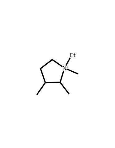 CC[N+]1(C)CCC(C)C1C